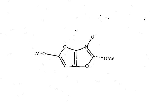 COc1cc2oc(OC)[n+]([O-])c2o1